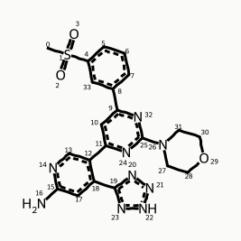 CS(=O)(=O)c1cccc(-c2cc(-c3cnc(N)cc3-c3nn[nH]n3)nc(N3CCOCC3)n2)c1